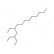 CCCCCCCCCC(CC)CC(CC)CC